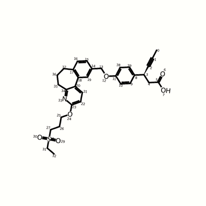 CC#C[C@@H](CC(=O)O)c1ccc(OCc2ccc3c(c2)-c2ccc(OCCCS(=O)(=O)CC)nc2CCC3)cc1